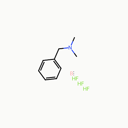 CN(C)Cc1ccccc1.F.F.F.[B]